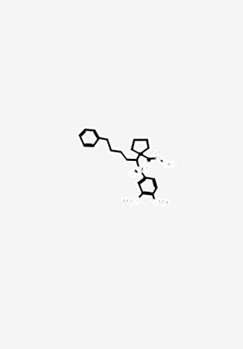 COc1ccc(S(=O)(=O)C(CCCCc2ccccc2)C2(C(=O)NO)CCCC2)cc1OC